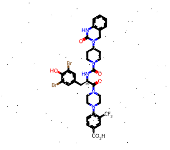 O=C(O)c1ccc(N2CCN(C(=O)[C@@H](Cc3cc(Br)c(O)c(Br)c3)NC(=O)N3CCC(N4Cc5ccccc5NC4=O)CC3)CC2)c(C(F)(F)F)c1